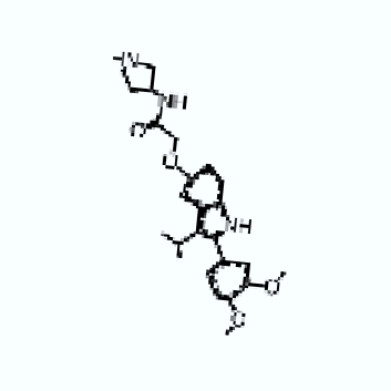 COc1ccc(-c2[nH]c3ccc(OCC(=O)NC4CCNC4)cc3c2C(C)C)cc1OC